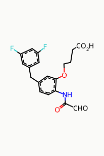 O=CC(=O)Nc1ccc(Cc2cc(F)cc(F)c2)cc1OCCCC(=O)O